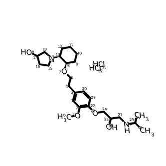 COc1cc(CCO[C@@H]2CCCC[C@@H]2N2CCC(O)C2)ccc1OCC(O)CNC(C)C.Cl.Cl